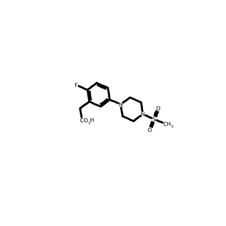 CS(=O)(=O)N1CCN(c2ccc(F)c(CC(=O)O)c2)CC1